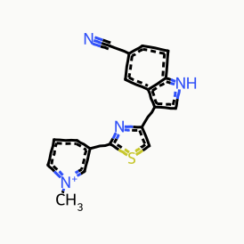 C[n+]1cccc(-c2nc(-c3c[nH]c4ccc(C#N)cc34)cs2)c1